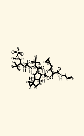 C=CCNC(=O)C(=O)C(CC1CC1)NC(=O)[C@@H]1[C@H]2CCC3(CC3)[C@H]2CN1C(=O)[C@@H](NC(=O)N[C@H](CN(C)S(C)(=O)=O)C(C)(C)C)C(C)(C)C